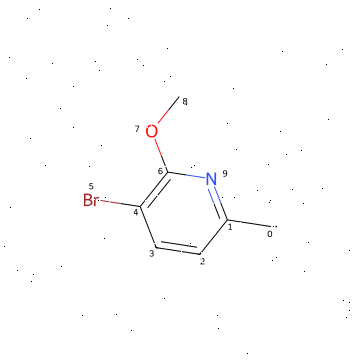 [CH2]c1ccc(Br)c(OC)n1